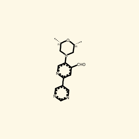 C[C@@H]1CN(c2cnc(-c3cncnc3)cc2C=O)C[C@H](C)O1